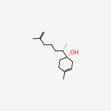 C=C(C)CCC[C@H](C)[C@@]1(O)CC=C(C)CC1